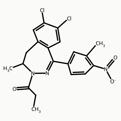 CCC(=O)N1N=C(c2ccc([N+](=O)[O-])c(C)c2)c2cc(Cl)c(Cl)cc2CC1C